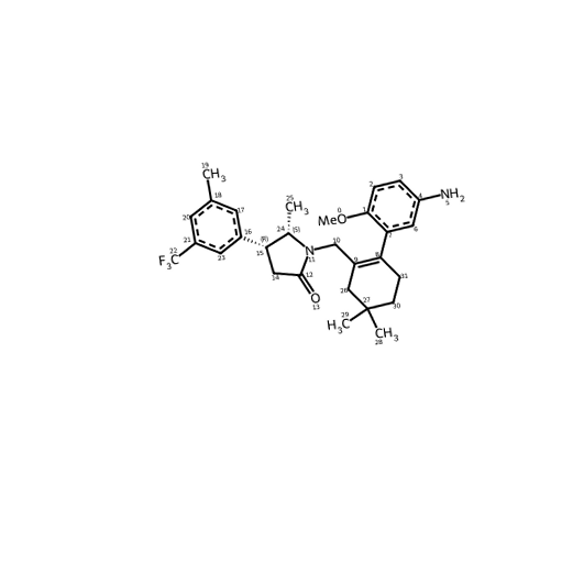 COc1ccc(N)cc1C1=C(CN2C(=O)C[C@H](c3cc(C)cc(C(F)(F)F)c3)[C@@H]2C)CC(C)(C)CC1